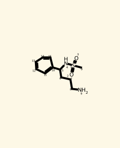 CS(=O)(=O)NC(CCCN)c1ccccc1